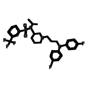 CC(C)N(C1CCCN(CCCN(c2ccc(F)cc2)c2ccc(F)cc2)C1)S(=O)(=O)c1cccc(C(F)(F)F)c1